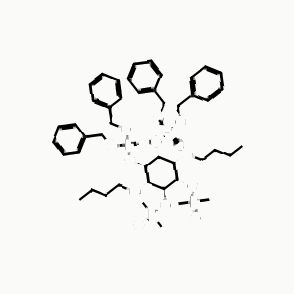 CCCCO[C@@H]1[C@H](OP(C)(C)=O)[C@@H](OP(C)(C)=O)[C@H](OCCCC)[C@@H](OP(=O)(OCc2ccccc2)OCc2ccccc2)[C@@H]1OP(=O)(OCc1ccccc1)OCc1ccccc1